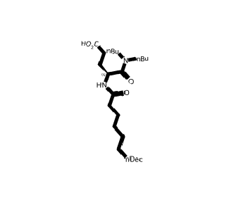 CCCCCCCCCCCCCCCC(=O)N[C@@H](CCC(=O)O)C(=O)N(CCCC)CCCC